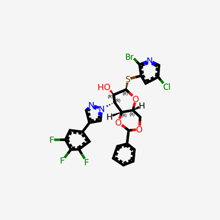 O[C@@H]1[C@@H](n2cc(-c3cc(F)c(F)c(F)c3)cn2)[C@H]2OC(c3ccccc3)OC[C@H]2O[C@@H]1Sc1cc(Cl)cnc1Br